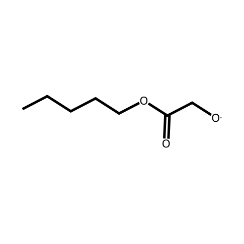 CCCCCOC(=O)C[O]